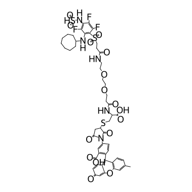 Cc1ccc2c(-c3ccc(N4C(=O)CC(SCC(NC(=O)CCOCCOCCNC(=O)CCS(=O)(=O)c5c(F)c(F)c(N[SH](=O)=O)c(F)c5NC5CCCCCCC5)C(=O)O)C4=O)cc3C(=O)O)c3ccc(=O)cc-3oc2c1